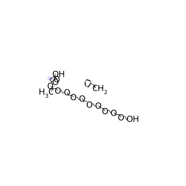 C=Cc1ccccc1.CC(COCCOCCOCCOCCOCCOCCOCCOCCOCCO)OC(=O)/C=C\C(=O)O